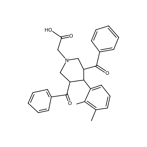 Cc1cccc(C2C(C(=O)c3ccccc3)CN(CC(=O)O)CC2C(=O)c2ccccc2)c1C